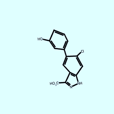 O=C(O)c1n[nH]c2cc(Cl)c(-c3cccc(O)c3)cc12